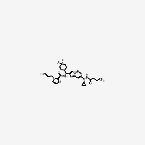 O=C(CCC(F)(F)F)N[C@@H](c1cnn2cc([C@@H](NC(=O)c3ncnn3CCCF)C3CCC(F)(F)CC3)nc2c1)C1CC1